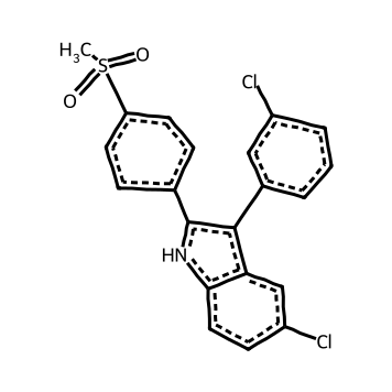 CS(=O)(=O)c1ccc(-c2[nH]c3ccc(Cl)cc3c2-c2cccc(Cl)c2)cc1